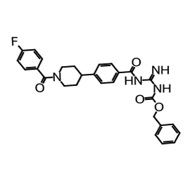 N=C(NC(=O)OCc1ccccc1)NC(=O)c1ccc(C2CCN(C(=O)c3ccc(F)cc3)CC2)cc1